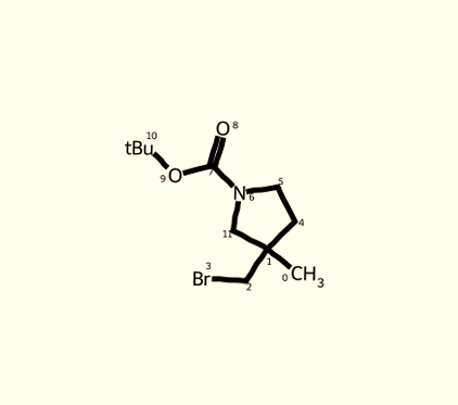 CC1(CBr)CCN(C(=O)OC(C)(C)C)C1